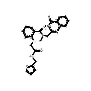 CN(Cc1nc2ccccc2c(=O)[nH]1)C(=O)c1ccccc1SCC(=O)NCc1ccco1